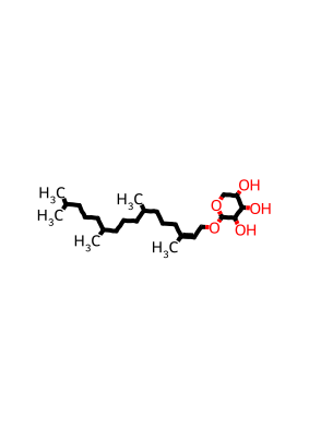 CC(=CCOC1OCC(O)C(O)C1O)CCCC(C)CCCC(C)CCCC(C)C